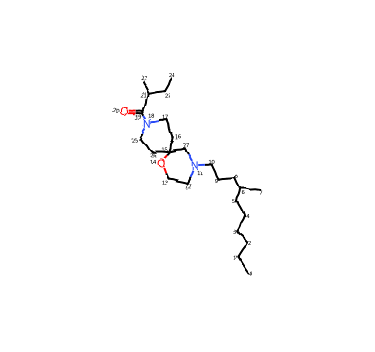 CCCCCCC(C)CCCN1CCOC2(CCN(C(=O)C(C)CC)CC2)C1